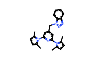 Cc1ccc(C)n1-c1cc(Cn2nnc3ccccc32)cc(-n2c(C)ccc2C)n1